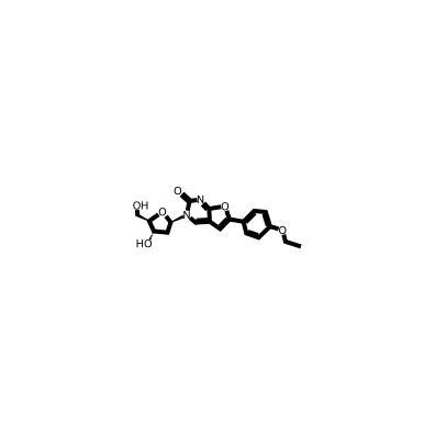 CCOc1ccc(-c2cc3cn([C@H]4C[C@H](O)[C@@H](CO)O4)c(=O)nc3o2)cc1